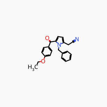 CCOc1ccc(C(=O)c2ccc(CC#N)n2Cc2ccccc2)cc1